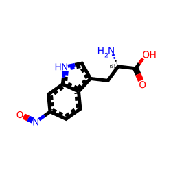 N[C@@H](Cc1c[nH]c2cc(N=O)ccc12)C(=O)O